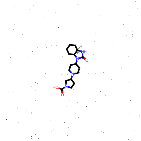 O=C(O)N1CCC(N2CCC(N3C(=O)N[C@@H]4CCCCC43)CC2)C1